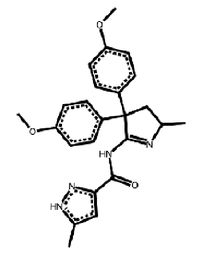 COc1ccc(C2(c3ccc(OC)cc3)CC(C)N=C2NC(=O)c2cc(C)[nH]n2)cc1